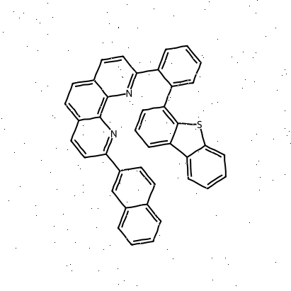 c1ccc(-c2cccc3c2sc2ccccc23)c(-c2ccc3ccc4ccc(-c5ccc6ccccc6c5)nc4c3n2)c1